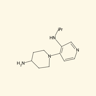 CC(C)Nc1cnccc1N1CCC(N)CC1